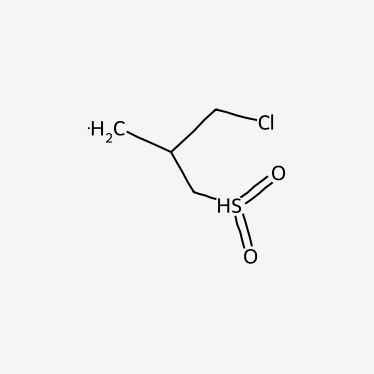 [CH2]C(CCl)C[SH](=O)=O